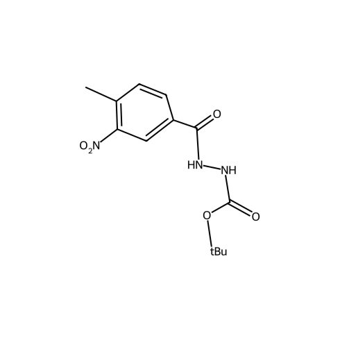 Cc1ccc(C(=O)NNC(=O)OC(C)(C)C)cc1[N+](=O)[O-]